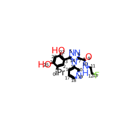 CC(C)c1cc(-c2nnc(C(=O)NCCF)n2-c2cccnc2)c(O)cc1O